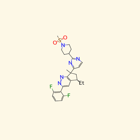 CC[C@@H]1CC(C)(c2ccnc(C3CCN(S(C)(=O)=O)CC3)n2)c2nnc(-c3c(F)cccc3F)cc21